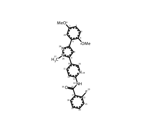 COc1ccc(OC)c(-c2cc(-c3ccc(NC(=O)c4ccccc4F)nc3)n(C)n2)c1